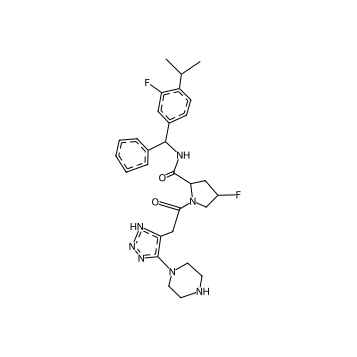 CC(C)c1ccc(C(NC(=O)C2CC(F)CN2C(=O)Cc2[nH]nnc2N2CCNCC2)c2ccccc2)cc1F